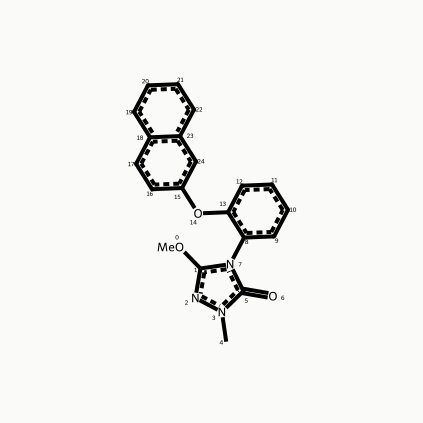 COc1nn(C)c(=O)n1-c1ccccc1Oc1ccc2ccccc2c1